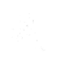 CC[C@H](NC(=O)[C@H](C)NC)C(=O)N1CC[C@@H]2[C@H]1[C@H](c1c[nH]c3cc(F)ccc13)CN2S(C)(=O)=O